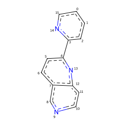 c1ccc(-c2ccc3cnccc3n2)nc1